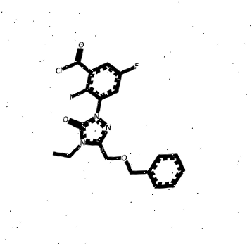 CCn1c(COCc2ccccc2)nn(-c2cc(F)cc(C(=O)Cl)c2I)c1=O